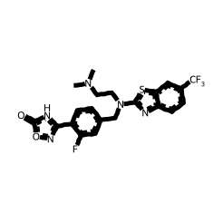 CN(C)CCN(Cc1ccc(-c2noc(=O)[nH]2)c(F)c1)c1nc2ccc(C(F)(F)F)cc2s1